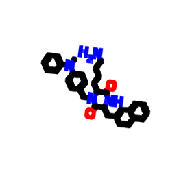 CN(c1ccccc1)c1ccc(CN2C(=O)C(Cc3ccc4ccccc4c3)NC(=O)C2CCCCN)cc1